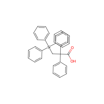 O=C(O)C(C[Si](c1ccccc1)(c1ccccc1)c1ccccc1)(c1ccccc1)c1ccccc1